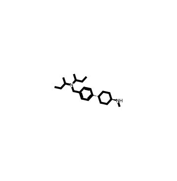 CCC(C)N(Cc1ccc([C@H]2CC[C@H](NC)CC2)cc1)C(C)CC